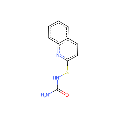 NC(=O)NSc1ccc2ccccc2n1